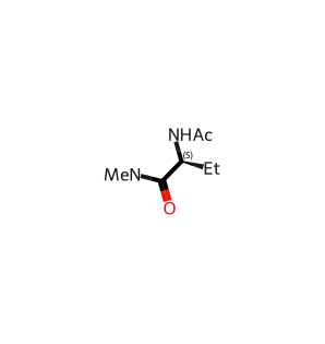 CC[C@H](NC(C)=O)C(=O)NC